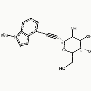 CCCCn1ncc2c(C#C[C@H]3OC(CO)[C@@H](O)C(O)C3O)cccc21